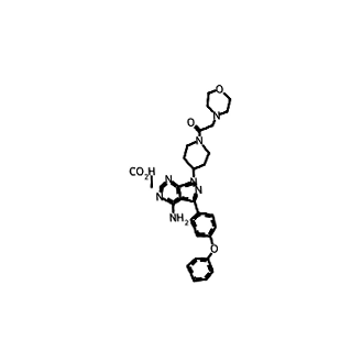 CC(=O)O.Nc1ncnc2c1c(-c1ccc(Oc3ccccc3)cc1)nn2C1CCN(C(=O)CN2CCOCC2)CC1